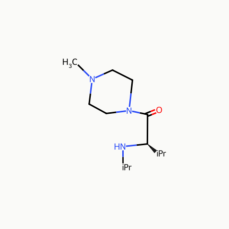 CC(C)N[C@@H](C(=O)N1CCN(C)CC1)C(C)C